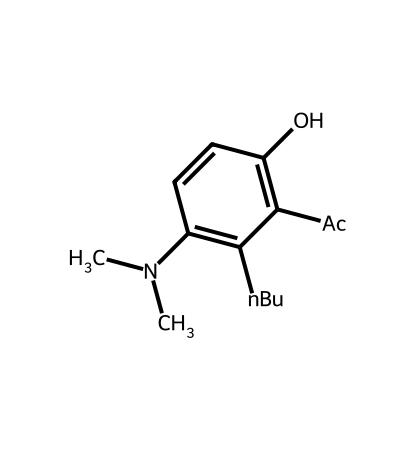 CCCCc1c(N(C)C)ccc(O)c1C(C)=O